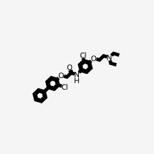 CCN(CC)CCOc1ccc(NC(=O)COc2ccc(-c3ccccc3)cc2Cl)cc1Cl